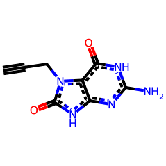 C#CCn1c(=O)[nH]c2nc(N)[nH]c(=O)c21